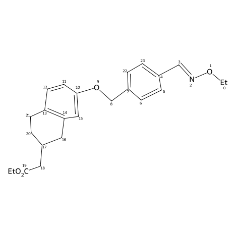 CCON=Cc1ccc(COc2ccc3c(c2)CC(CC(=O)OCC)CC3)cc1